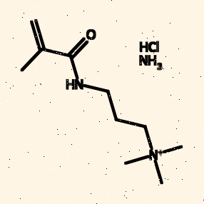 C=C(C)C(=O)NCCC[N+](C)(C)C.Cl.N